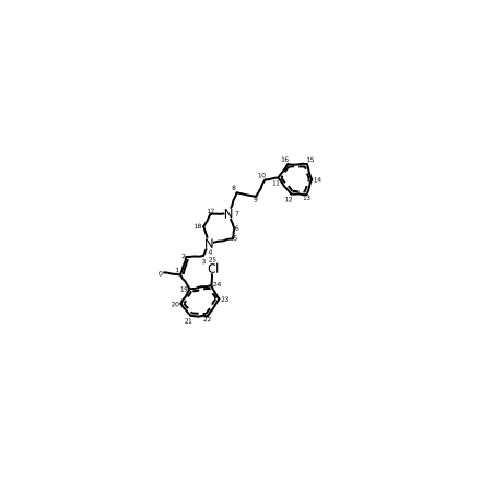 CC(=CCN1CCN(CCCc2ccccc2)CC1)c1ccccc1Cl